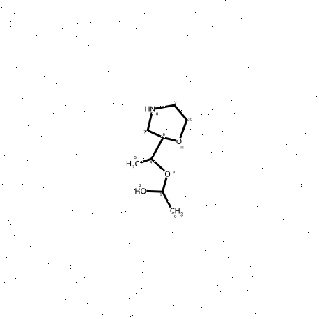 CC(O)OC(C)C1CNCCO1